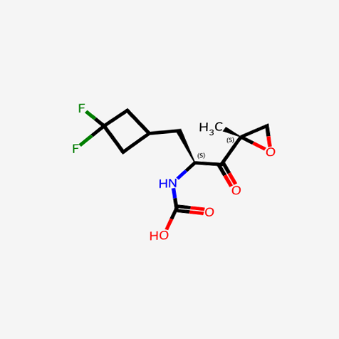 C[C@@]1(C(=O)[C@H](CC2CC(F)(F)C2)NC(=O)O)CO1